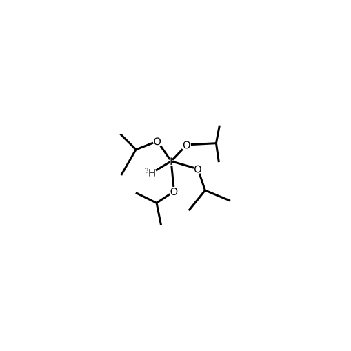 [3H]I(OC(C)C)(OC(C)C)(OC(C)C)OC(C)C